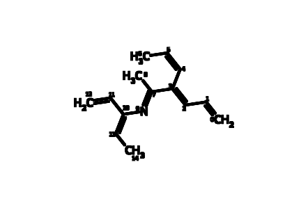 C=C/C=C(\C=C/C)C(/C)=N/C(C=C)=C\C